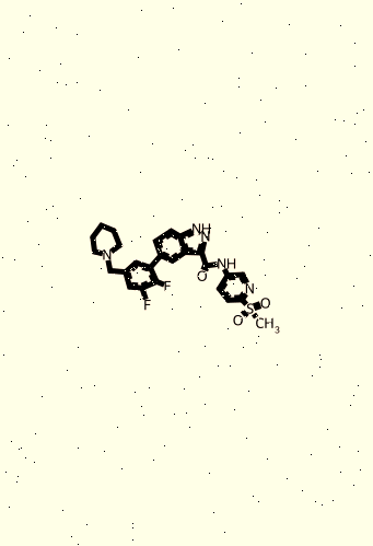 CS(=O)(=O)c1ccc(NC(=O)c2n[nH]c3ccc(-c4cc(CN5CCCCC5)cc(F)c4F)cc23)cn1